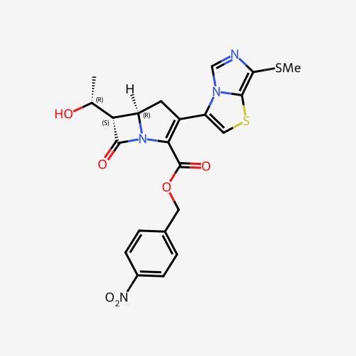 CSc1ncn2c(C3=C(C(=O)OCc4ccc([N+](=O)[O-])cc4)N4C(=O)[C@H]([C@@H](C)O)[C@H]4C3)csc12